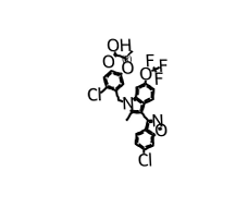 Cc1c(-c2noc3cc(Cl)ccc23)c2ccc(OC(F)(F)F)cc2n1Cc1cc(O[C@H](C)C(=O)O)ccc1Cl